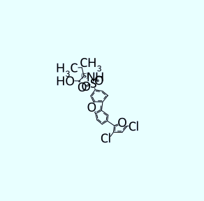 CC(C)[C@H](NS(=O)(=O)c1ccc2c(c1)oc1ccc(-c3oc(Cl)cc3Cl)cc12)C(=O)O